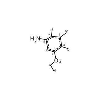 CCOc1cc(N)c(C)c(C)c1C